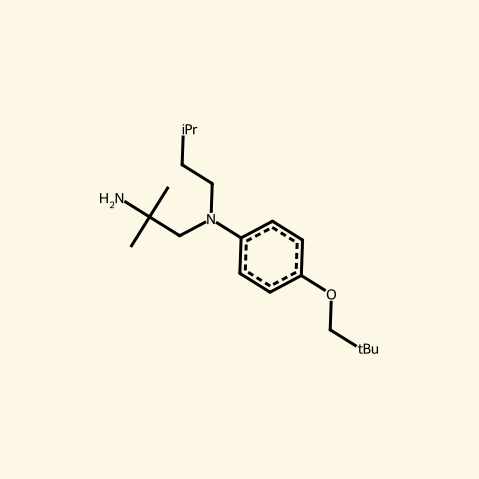 CC(C)CCN(CC(C)(C)N)c1ccc(OCC(C)(C)C)cc1